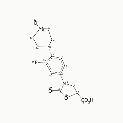 O=C(O)C1CN(c2ccc([C@H]3CC[S@+]([O-])CC3)c(F)c2)C(=O)O1